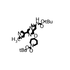 Cn1cc(-c2cn3nc(NC(=O)OC(C)(C)C)cc3c(O[C@@H]3CCCN(C(=O)OC(C)(C)C)CC3)n2)cn1